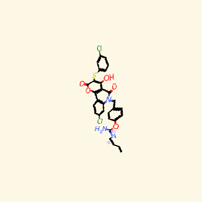 C=C/C=C\N=C(/N)Oc1ccc(Cn2c(=O)c3c(O)c(Sc4cccc(Cl)c4)c(=O)oc3c3ccc(Cl)cc32)cc1